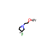 CC(C)OCCN1CC[C@@H](F)C1